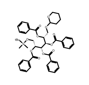 CC(C)(C)[Si](C)(C)OC[C@@H](OC(=O)c1ccccc1)[C@@H](OC(=O)c1ccccc1)[C@H](OC(=O)c1ccccc1)[C@@H](COC1CCCCO1)OC(=O)c1ccccc1